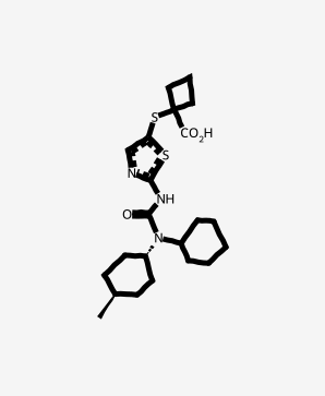 C[C@H]1CC[C@H](N(C(=O)Nc2ncc(SC3(C(=O)O)CCC3)s2)C2CCCCC2)CC1